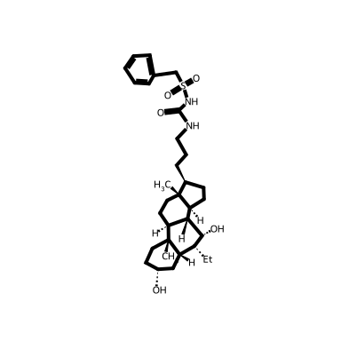 CC[C@H]1[C@@H](O)[C@@H]2[C@H](CC[C@]3(C)[C@@H](CCCNC(=O)NS(=O)(=O)Cc4ccccc4)CC[C@@H]23)[C@@]2(C)CC[C@@H](O)C[C@@H]12